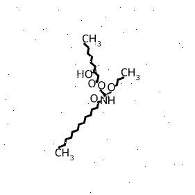 CCCCCCCCCCCCCC(=O)N[C@H](COCCCC)COC(=O)C[C@H](O)CCCCCCC